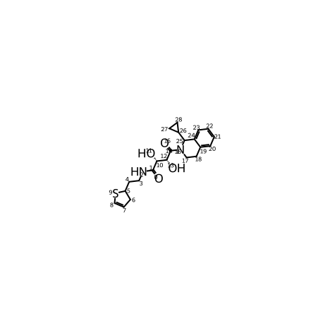 O=C(NCCC1CC=CS1)[C@H](O)[C@@H](O)C(=O)N1CCc2ccccc2C1C1CC1